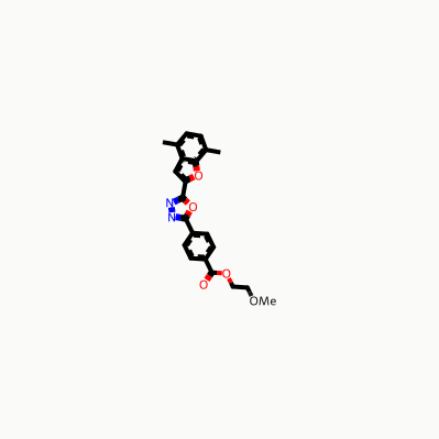 COCCOC(=O)c1ccc(-c2nnc(-c3cc4c(C)ccc(C)c4o3)o2)cc1